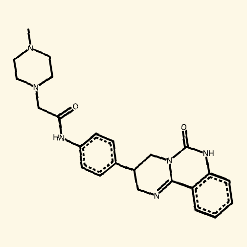 CN1CCN(CC(=O)Nc2ccc(C3CN=C4c5ccccc5NC(=O)N4C3)cc2)CC1